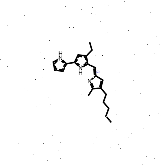 CCCCCC1=C/C(=C/c2[nH]c(-c3ccc[nH]3)cc2CC)N=C1C